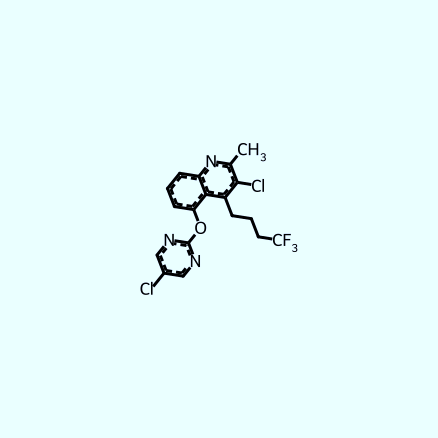 Cc1nc2cccc(Oc3ncc(Cl)cn3)c2c(CCCC(F)(F)F)c1Cl